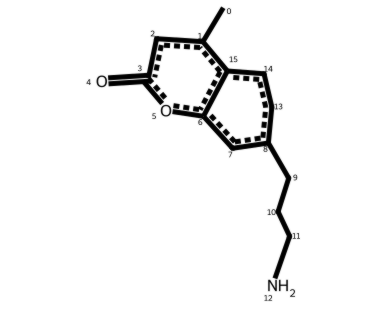 Cc1cc(=O)oc2cc(CCCN)ccc12